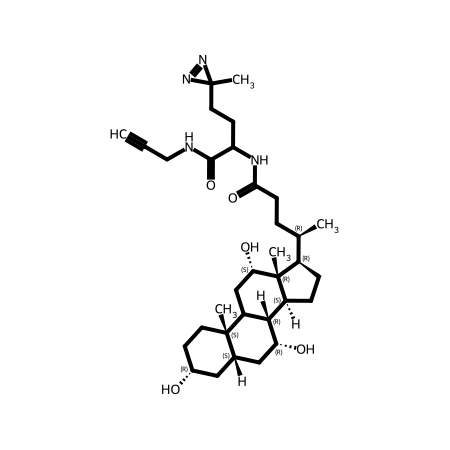 C#CCNC(=O)C(CCC1(C)N=N1)NC(=O)CC[C@@H](C)[C@H]1CC[C@H]2[C@H]3C(C[C@H](O)[C@]12C)[C@@]1(C)CC[C@@H](O)C[C@H]1C[C@H]3O